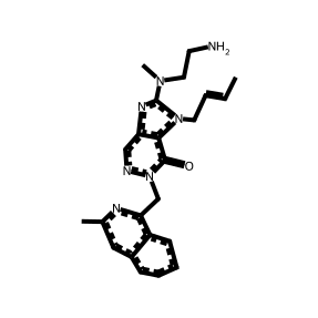 CC=CCn1c(N(C)CCN)nc2cnn(Cc3nc(C)cc4ccccc34)c(=O)c21